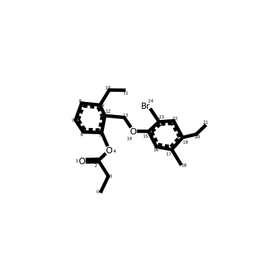 CCC(=O)Oc1cccc(CC)c1COc1cc(C)c(CC)cc1Br